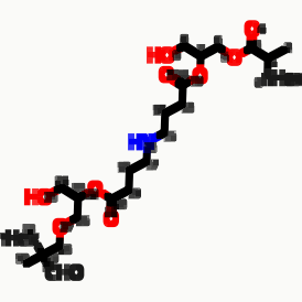 CCCCCCC(C)C(=O)OCC(CO)OC(=O)CCCNCCCC(=O)OC(CO)COCC(C)(C=O)CCCCCC